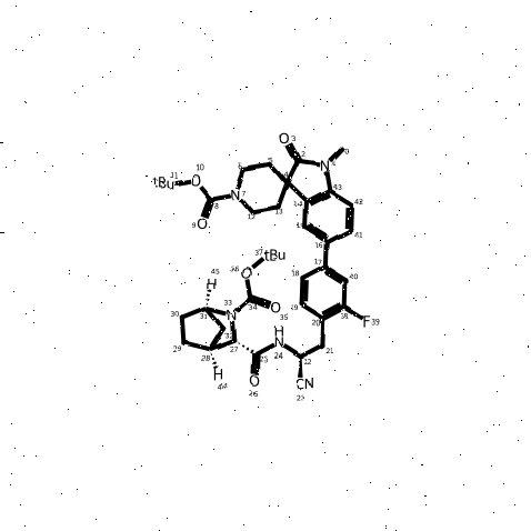 CN1C(=O)C2(CCN(C(=O)OC(C)(C)C)CC2)c2cc(-c3ccc(C[C@@H](C#N)NC(=O)[C@@H]4[C@H]5CC[C@H](C5)N4C(=O)OC(C)(C)C)c(F)c3)ccc21